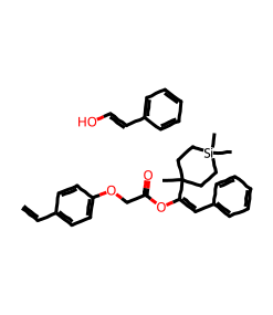 C=Cc1ccc(OCC(=O)OC(=Cc2ccccc2)C2(C)CC[Si](C)(C)CC2)cc1.OC=Cc1ccccc1